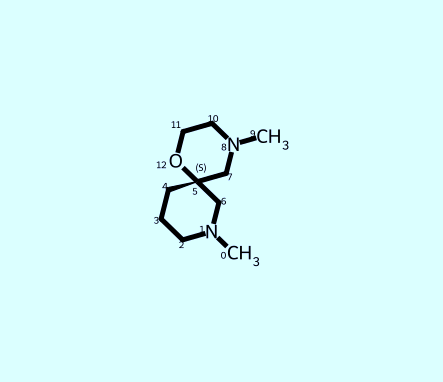 CN1CCC[C@]2(C1)CN(C)CCO2